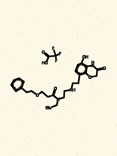 CC(C)(C)CN(CCNCCc1ccc(O)c2c1OCC(=O)N2)C(=O)CCOCCc1ccccc1.O=C(O)C(F)(F)F